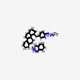 CC(C)NCc1ccc(Cc2cccc3ccc4c(c23)CCC2=C4C=CCC2)cc1.c1ccc2cnncc2c1